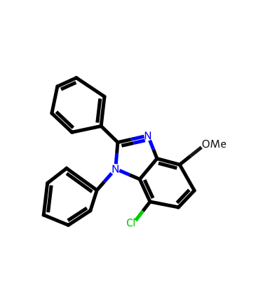 COc1ccc(Cl)c2c1nc(-c1ccccc1)n2-c1ccccc1